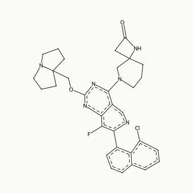 O=C1CC2(CCCN(c3nc(OCC45CCCN4CCC5)nc4c(F)c(-c5cccc6cccc(Cl)c56)ncc34)C2)N1